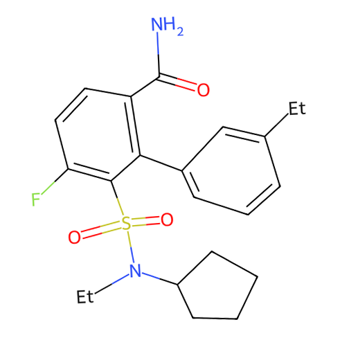 CCc1cccc(-c2c(C(N)=O)ccc(F)c2S(=O)(=O)N(CC)C2CCCC2)c1